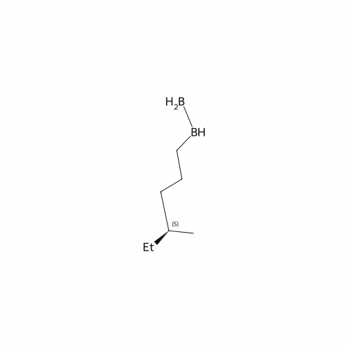 BBCCC[C@@H](C)CC